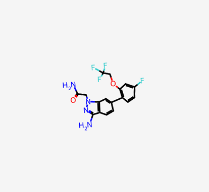 NC(=O)Cn1nc(N)c2ccc(-c3ccc(F)cc3OCC(F)(F)F)cc21